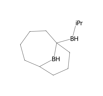 CC(C)BC12BC(CCCC1)CCC2